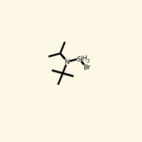 CC(C)N([SiH2]Br)C(C)(C)C